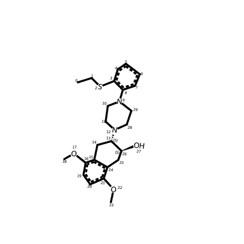 CCSc1ccccc1N1CCN([C@H]2Cc3c(OC)ccc(OC)c3C[C@@H]2O)CC1